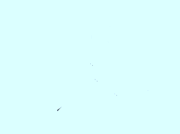 CO[C@H]1C[C@H](n2nc(C(F)(F)C(F)(F)F)cc2-n2c(C)ccc2C)C1